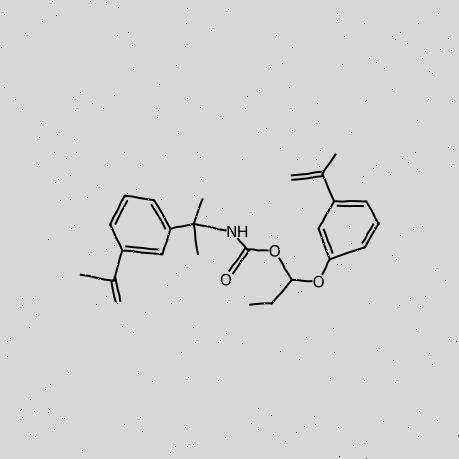 C=C(C)c1cccc(OC(CC)OC(=O)NC(C)(C)c2cccc(C(=C)C)c2)c1